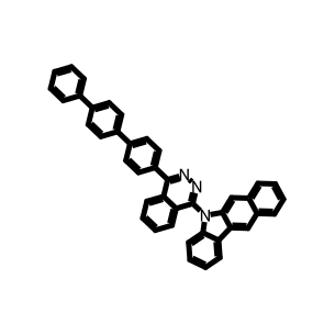 c1ccc(-c2ccc(-c3ccc(-c4nnc(-n5c6ccccc6c6cc7ccccc7cc65)c5ccccc45)cc3)cc2)cc1